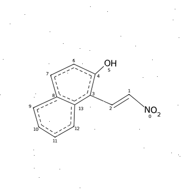 O=[N+]([O-])C=Cc1c(O)ccc2ccccc12